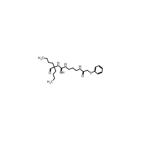 CCCCC(C=O)(CCCC)NC(=N)NCCCNC(=O)CSc1ccccc1